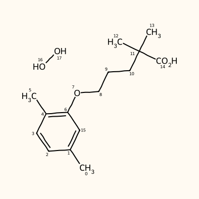 Cc1ccc(C)c(OCCCC(C)(C)C(=O)O)c1.OO